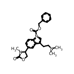 CN(C)CCc1cn(C(=O)OCc2ccccc2)c2ccc(C3COC(=O)N3C)cc12